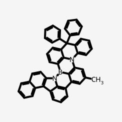 Cc1cc2c3c(c1)N1c4ccccc4C(c4ccccc4)(c4ccccc4)c4cccc(c41)B3n1c3ccc4ccccc4c3c3cccc-2c31